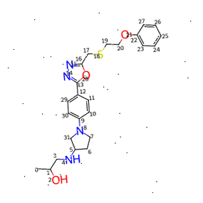 CC(O)CNC1CCN(c2ccc(-c3nnc(CSCCOc4ccccc4)o3)cc2)C1